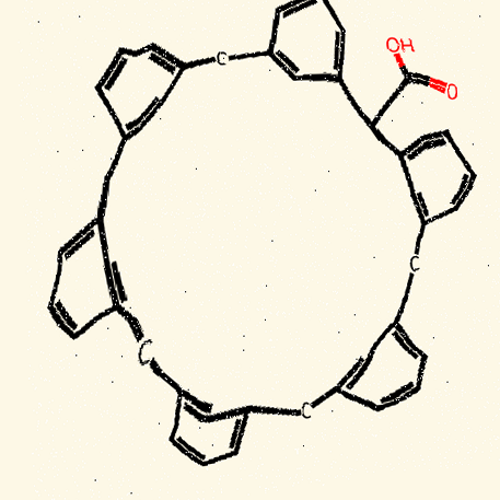 O=C(O)C1c2cccc(c2)Cc2cccc(c2)Cc2cccc(c2)Cc2cccc(c2)Cc2cccc(c2)Cc2cccc1c2